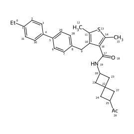 CCc1ccc(-c2ccc(Cc3c(C)sc(C)c3C(=O)NC3CC4(C3)CC(C(C)=O)C4)cc2)cc1